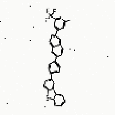 Cc1cc(-c2ccc3cc(-c4ccc(-c5ccc6sc7ccccc7c6c5)cc4)ccc3c2)cc(C(F)(F)F)c1